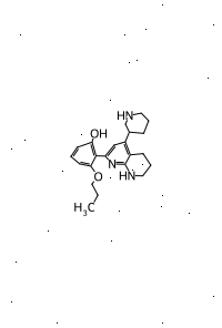 CCCOc1cccc(O)c1-c1cc(C2CCCNC2)c2c(n1)NCCC2